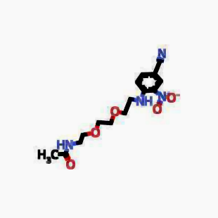 CC(=O)NCCOCCOCCNc1ccc(C#N)cc1[N+](=O)[O-]